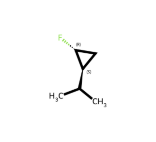 CC(C)[C@@H]1C[C@H]1F